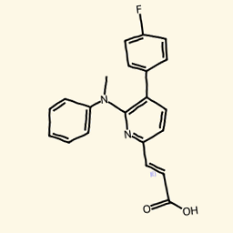 CN(c1ccccc1)c1nc(/C=C/C(=O)O)ccc1-c1ccc(F)cc1